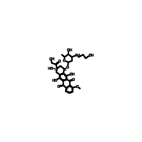 COc1cccc2c1C(=O)c1c(O)c3c(c(O)c1C2=O)C[C@@](O)(C(=O)CO)C[C@@H]3OC1CC(NCCCO)C(O)C(C)O1